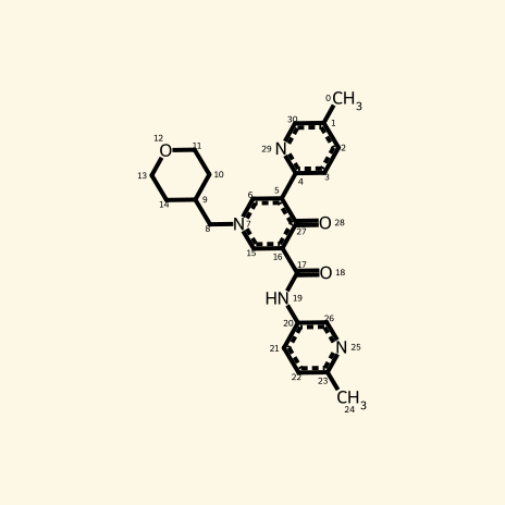 Cc1ccc(-c2cn(CC3CCOCC3)cc(C(=O)Nc3ccc(C)nc3)c2=O)nc1